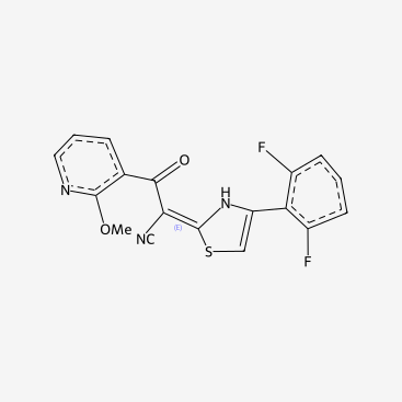 COc1ncccc1C(=O)/C(C#N)=C1\NC(c2c(F)cccc2F)=CS1